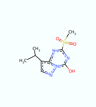 CC(C)c1cnn2c(O)nc(S(C)(=O)=O)nc12